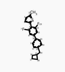 Cc1ccc(-c2c(F)cc(-c3ccc(CC4CCC4)cc3)cc2F)s1